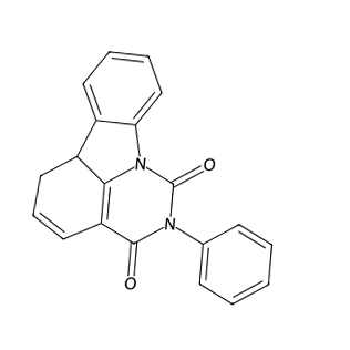 O=c1c2c3n(c(=O)n1-c1ccccc1)-c1ccccc1C3CC=C2